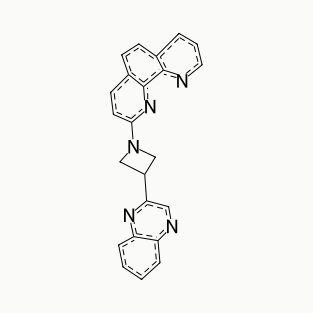 c1cnc2c(c1)ccc1ccc(N3CC(c4cnc5ccccc5n4)C3)nc12